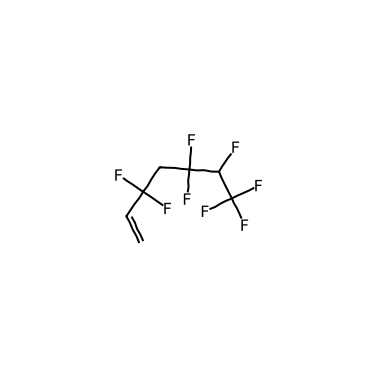 C=CC(F)(F)CC(F)(F)C(F)C(F)(F)F